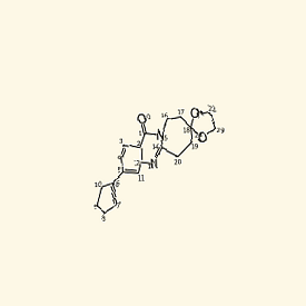 O=c1c2ccc(C3=CCCC3)cc2nc2n1CCC1(CC2)OCCO1